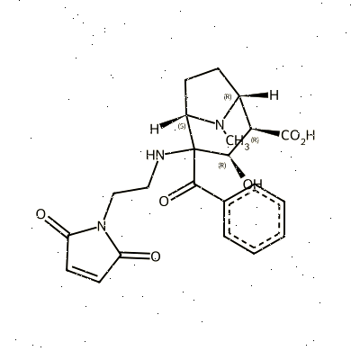 CN1[C@@H]2CC[C@H]1C(NCCN1C(=O)C=CC1=O)(C(=O)c1ccccc1)[C@H](O)[C@@H]2C(=O)O